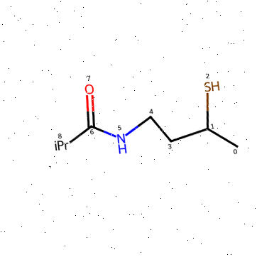 CC(S)CCNC(=O)C(C)C